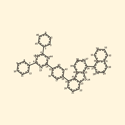 c1ccc(-c2nc(-c3ccccc3)nc(-c3ccc(-c4cccc5sc6c(-c7nccc8ccccc78)nccc6c45)cc3)n2)cc1